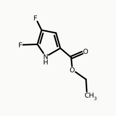 CCOC(=O)c1cc(F)c(F)[nH]1